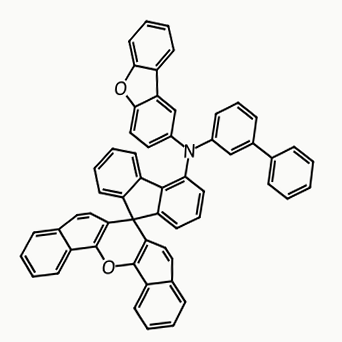 c1ccc(-c2cccc(N(c3ccc4oc5ccccc5c4c3)c3cccc4c3-c3ccccc3C43c4ccc5ccccc5c4Oc4c3ccc3ccccc43)c2)cc1